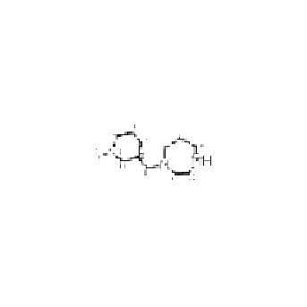 CN1CCCC(CN2CCCNCC2)C1